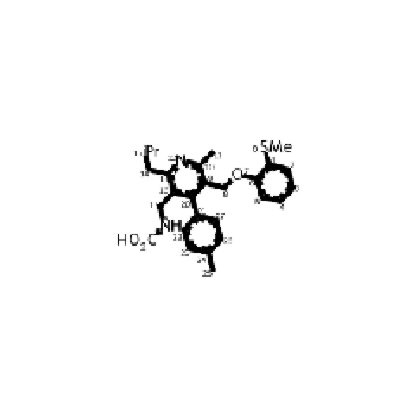 CSc1ccccc1OCc1c(C)nc(CC(C)C)c(CNC(=O)O)c1-c1ccc(C)cc1